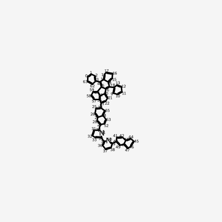 c1ccc(-c2c3c(c(-c4ccccc4)c4ccccc24)-c2ccc(-c4ccc5cc(-c6cccc(-c7cccc(-c8ccc9ccccc9c8)n7)n6)ccc5c4)c4cccc-3c24)cc1